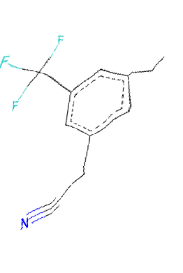 Cc1cc(CC#N)cc(C(F)(F)F)c1